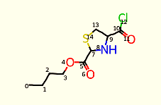 CCCCOC(=O)C1NC(C(=O)Cl)CS1